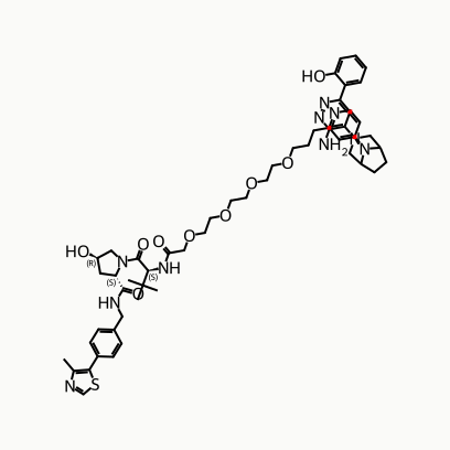 Cc1ncsc1-c1ccc(CNC(=O)[C@@H]2C[C@@H](O)CN2C(=O)[C@@H](NC(=O)COCCOCCOCCOCCCc2cc(N3C4CCC3CN(c3cc(-c5ccccc5O)nnc3N)C4)ccn2)C(C)(C)C)cc1